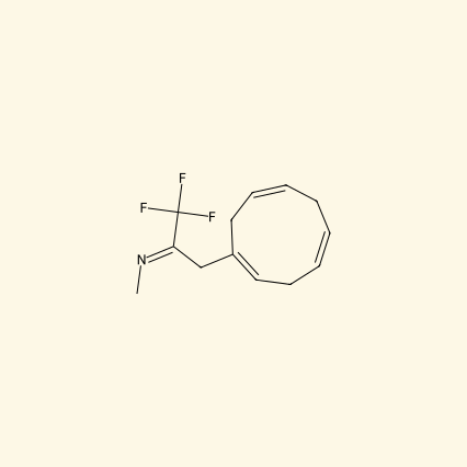 C/N=C(\C/C1=C/CC=CC/C=C\C1)C(F)(F)F